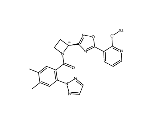 CCOc1ncccc1-c1nc([C@@H]2CCN2C(=O)c2cc(C)c(C)cc2-n2nccn2)no1